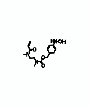 C=CC(=O)N(C)CCN(C)C(=O)OCc1ccc(NO)cc1